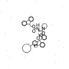 O=C(C[C@H](NC(=O)OCC1c2ccccc2-c2ccccc21)C(=O)N1CCCCC1)OC(c1ccccc1)(c1ccc(C2CCCCCCCCC2)cc1)c1ccccc1Cl